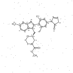 COC(=O)N1CCO[C@@H](Cc2c(-c3c(F)cc(N4C=CCC4=O)cc3F)nc3cc(C)ccn23)C1